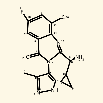 Cc1n[nH]cc1-n1c([C@@H](N)C2CC2)nc2c(Cl)cc(F)cc2c1=O